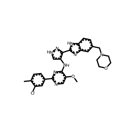 COc1cnc(-c2ccc(C)c(Cl)c2)nc1Nc1c[nH]nc1-c1nc2cc(CN3CCOCC3)ccc2[nH]1